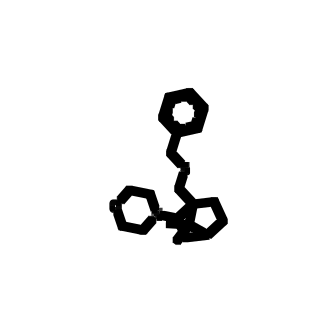 CC1(C)C2CCC1(CSCc1ccccc1)C(N1CCOCC1)C2